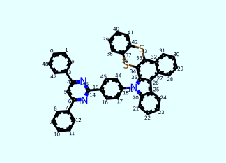 c1ccc(-c2cc(-c3ccccc3)nc(-c3ccc(-n4c5ccccc5c5c6ccccc6c6c(c54)Sc4ccccc4S6)cc3)n2)cc1